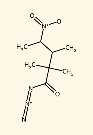 CC(C(C)C(C)(C)C(=O)N=[N+]=[N-])[N+](=O)[O-]